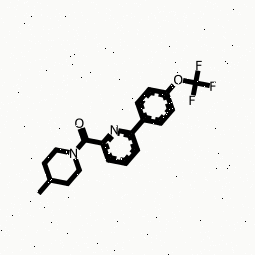 CC1CCN(C(=O)c2cccc(-c3ccc(OC(F)(F)F)cc3)n2)CC1